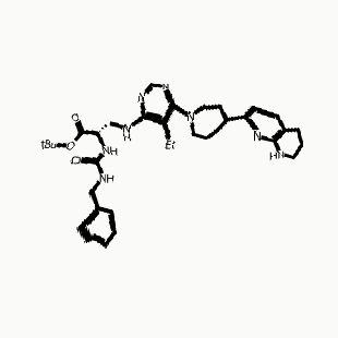 CCc1c(NC[C@H](NC(=O)NCc2ccccc2)C(=O)OC(C)(C)C)ncnc1N1CCC(c2ccc3c(n2)NCCC3)CC1